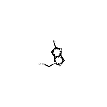 O=CCn1ncc2sc(Br)cc21